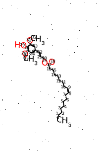 CCCCCCCC/C=C\CCCCCCCC(=O)OC/C=C/c1cc(OC)c(O)c(OC)c1